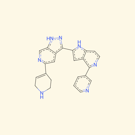 C1=C(c2cc3c(-c4cc5c(-c6cccnc6)nccc5[nH]4)n[nH]c3cn2)CCNC1